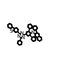 c1ccc(-c2nc(-c3cc(-c4ccccc4)c(-n4c5ccccc5c5cc6ccccc6cc54)c(-c4ccccc4)c3)nc(-c3ccc4c(c3)sc3ccccc34)n2)cc1